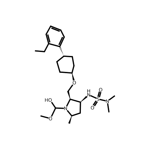 CCc1ccccc1[C@H]1CC[C@H](OC[C@H]2[C@@H](NS(=O)(=O)N(C)C)C[C@@H](C)N2C(O)OC)CC1